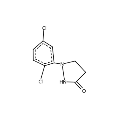 O=C1CCN(c2cc(Cl)ccc2Cl)N1